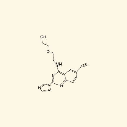 C#Cc1ccc2nc(-n3ccnc3)nc(NCCOCCO)c2c1